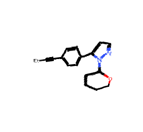 CCC#Cc1ccc(-c2ccnn2C2CCCCO2)cc1